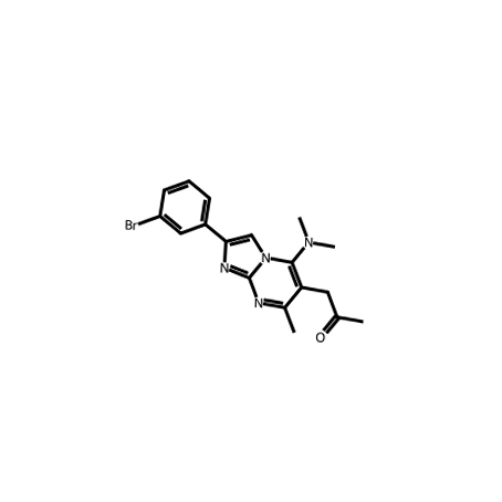 CC(=O)Cc1c(C)nc2nc(-c3cccc(Br)c3)cn2c1N(C)C